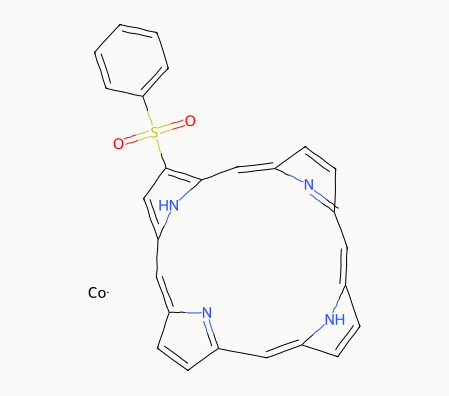 O=S(=O)(c1ccccc1)c1cc2cc3nc(cc4ccc(cc5nc(cc1[nH]2)C=C5)[nH]4)C=C3.[Co]